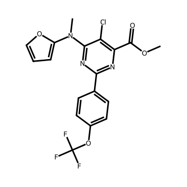 COC(=O)c1nc(-c2ccc(OC(F)(F)F)cc2)nc(N(C)c2ccco2)c1Cl